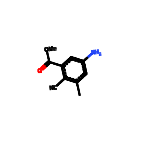 COC(=O)c1cc(N)cc(C)c1C#N